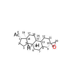 CC(=O)[C@H]1CC[C@H]2[C@@H]3CCC4C[C@]5(CC[C@]4(C)C3CC[C@]12C)CO5